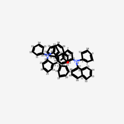 c1ccc(N(c2cccc([Si](c3ccccc3)(c3ccccc3)c3ccccc3N(c3ccccc3)c3cccc4ccccc34)c2)c2cccc3ccccc23)cc1